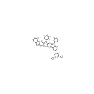 Clc1cc(Cl)cc(-c2ccc3c(c2)c2ccc(N(c4ccccc4)c4ccc5sc6ccccc6c5c4)cc2n3-c2ccccc2)c1